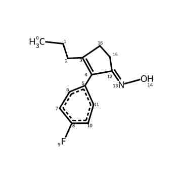 CCCC1=C(c2ccc(F)cc2)C(=NO)CC1